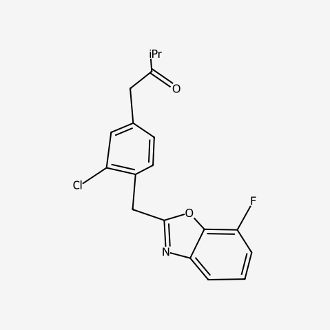 CC(C)C(=O)Cc1ccc(Cc2nc3cccc(F)c3o2)c(Cl)c1